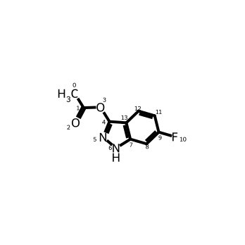 CC(=O)Oc1n[nH]c2cc(F)ccc12